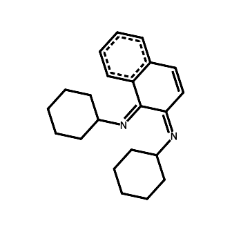 C1=Cc2ccccc2C(=NC2CCCCC2)C1=NC1CCCCC1